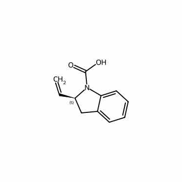 C=C[C@@H]1Cc2ccccc2N1C(=O)O